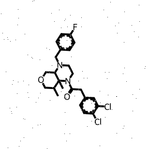 CC1COCC2N(Cc3ccc(F)cc3)CCN(C(=O)Cc3ccc(Cl)c(Cl)c3)C12C